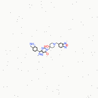 Cn1nc2c(=O)n(CC3(O)CCN(Cc4ccc5nonc5c4)CC3)cnc2c1-c1ccc(CN)cc1